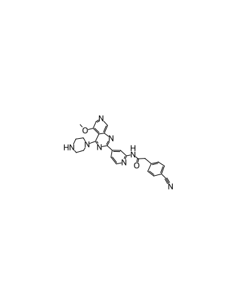 COc1cncc2nc(-c3ccnc(NC(=O)Cc4ccc(C#N)cc4)c3)nc(N3CCNCC3)c12